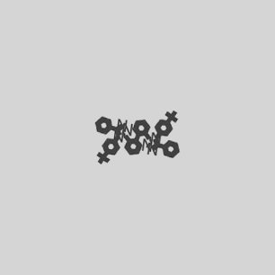 CC(C)(C)c1ccc(-n2c(-c3ccccc3)nnc2-c2ccccc2-c2ccccc2-c2nnc(-c3ccccc3)n2-c2ccc(C(C)(C)C)cc2)cc1